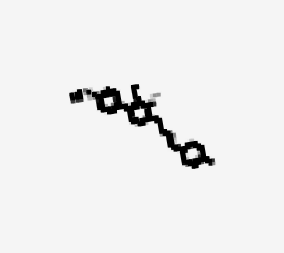 CCCc1ccc(-c2ccc(CC/C=C/C3CC=C(C)CC3)c(F)c2F)cc1